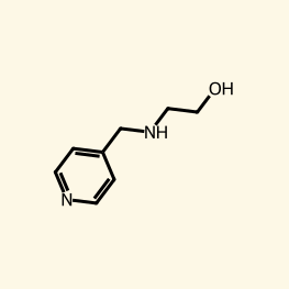 OCCNCc1ccncc1